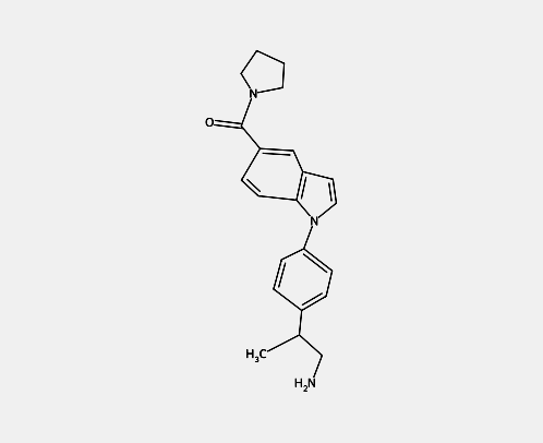 CC(CN)c1ccc(-n2ccc3cc(C(=O)N4CCCC4)ccc32)cc1